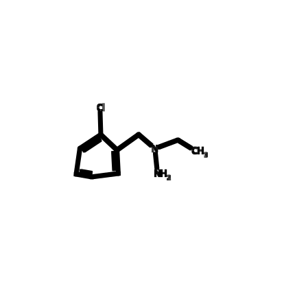 CCN(N)Cc1ccccc1Cl